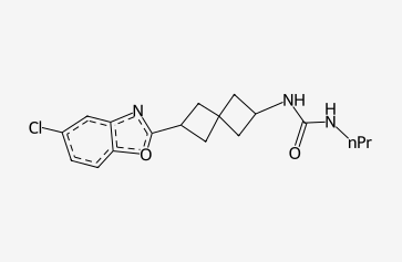 CCCNC(=O)NC1CC2(C1)CC(c1nc3cc(Cl)ccc3o1)C2